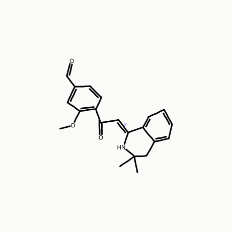 COc1cc(C=O)ccc1C(=O)/C=C1\NC(C)(C)Cc2ccccc21